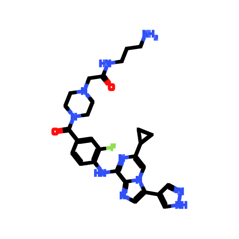 NCCCNC(=O)CN1CCN(C(=O)c2ccc(Nc3nc(C4CC4)cn4c(-c5cn[nH]c5)cnc34)c(F)c2)CC1